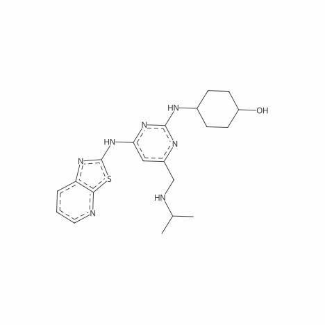 CC(C)NCc1cc(Nc2nc3cccnc3s2)nc(NC2CCC(O)CC2)n1